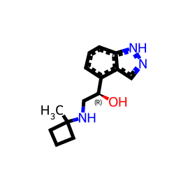 CC1(NC[C@H](O)c2cccc3[nH]ncc23)CCC1